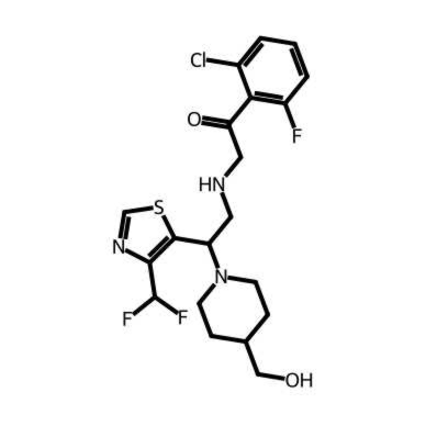 O=C(CNCC(c1scnc1C(F)F)N1CCC(CO)CC1)c1c(F)cccc1Cl